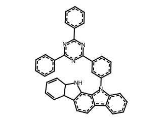 C1=CC2Nc3c(ccc4c5ccccc5n(-c5cccc(-c6nc(-c7ccccc7)nc(-c7ccccc7)n6)c5)c34)C2C=C1